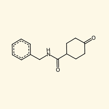 O=C1CCC(C(=O)NCc2ccccc2)CC1